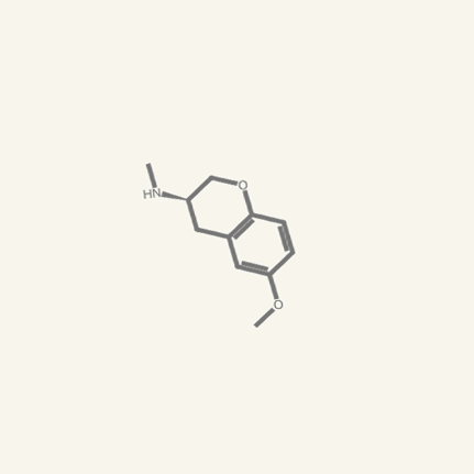 CN[C@H]1COc2ccc(OC)cc2C1